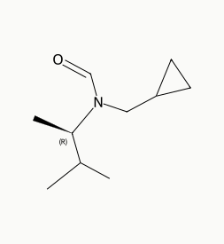 CC(C)[C@@H](C)N(C=O)CC1CC1